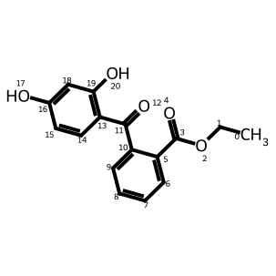 CCOC(=O)c1ccccc1C(=O)c1ccc(O)cc1O